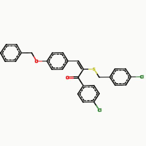 O=C(/C(=C\c1ccc(OCc2ccccc2)cc1)SCc1ccc(Cl)cc1)c1ccc(Cl)cc1